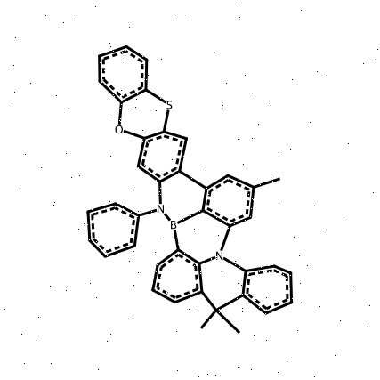 Cc1cc2c3c(c1)N1c4ccccc4C(C)(C)c4cccc(c41)B3N(c1ccccc1)c1cc3c(cc1-2)Sc1ccccc1O3